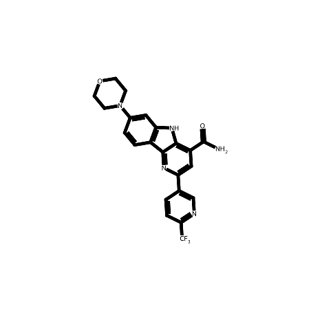 NC(=O)c1cc(-c2ccc(C(F)(F)F)nc2)nc2c1[nH]c1cc(N3CCOCC3)ccc12